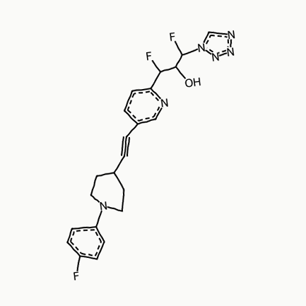 OC(C(F)c1ccc(C#CC2CCN(c3ccc(F)cc3)CC2)cn1)C(F)n1cnnn1